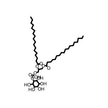 CCCCCCCCCCCCCCCCCC(=O)OCC(COP(=O)(O)OC1C(O)C(O)C(O)C(O)C1O)OC(=O)CCCCCCCCCCCCCCCCC